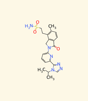 Cc1ccc2c(c1CCS(N)(=O)=O)CN(c1cccc(-c3nncn3C(C)C)n1)C2=O